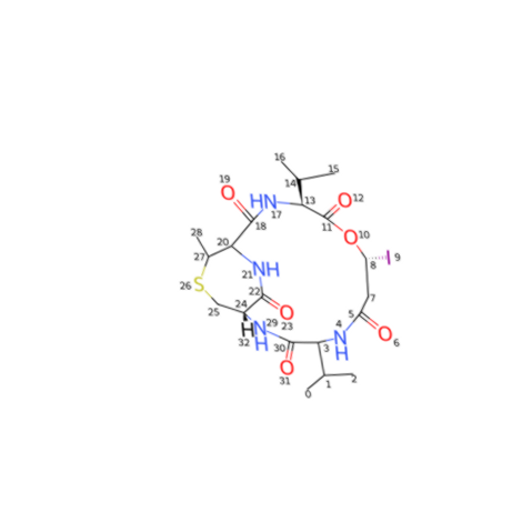 CC(C)C1NC(=O)C[C@@H](I)OC(=O)[C@H](C(C)C)NC(=O)C2NC(=O)[C@@H](CSC2C)NC1=O